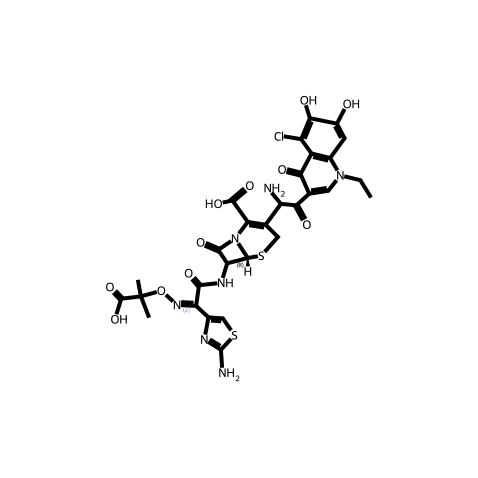 CCn1cc(C(=O)C(N)C2=C(C(=O)O)N3C(=O)C(NC(=O)/C(=N\OC(C)(C)C(=O)O)c4csc(N)n4)[C@H]3SC2)c(=O)c2c(Cl)c(O)c(O)cc21